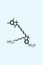 C[N+]1=C(/C=C/C=C/C=C/C=C2\N(CCCCCC(=O)O)c3ccc(S(=O)(=O)O)cc3C2(C)C)C(C)(C)c2c(I)cc(I)cc21